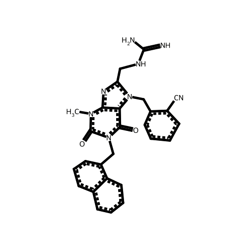 Cn1c(=O)n(Cc2cccc3ccccc23)c(=O)c2c1nc(CNC(=N)N)n2Cc1ccccc1C#N